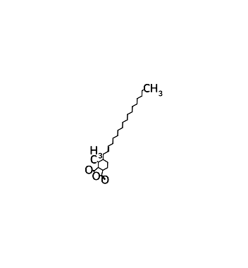 CCCCCCCCCCCCCCC/C=C/CC1CCC2C(=O)OC(=O)C2C1C